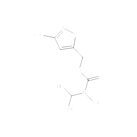 Cc1cc(COC(=O)N(C(C)C)C(S)C(C)C)on1